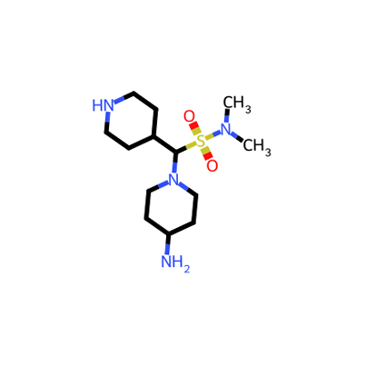 CN(C)S(=O)(=O)C(C1CCNCC1)N1CCC(N)CC1